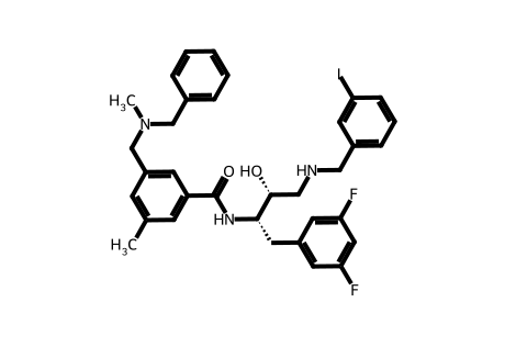 Cc1cc(CN(C)Cc2ccccc2)cc(C(=O)N[C@@H](Cc2cc(F)cc(F)c2)[C@H](O)CNCc2cccc(I)c2)c1